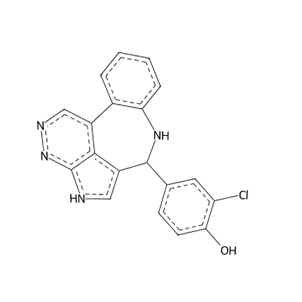 Oc1ccc(C2Nc3ccccc3-c3cnnc4[nH]cc2c34)cc1Cl